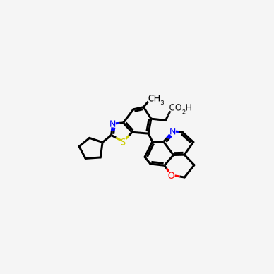 Cc1cc2nc(C3CCCC3)sc2c(-c2ccc3c4c(ccnc24)CCO3)c1CC(=O)O